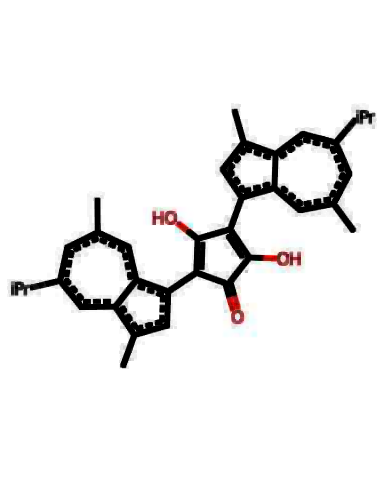 Cc1cc(C(C)C)cc2c(C)cc(C3=C(O)C(c4cc(C)c5cc(C(C)C)cc(C)cc4-5)=C(O)C3=O)c-2c1